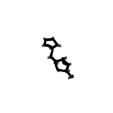 CCN1C=NN(Sc2nccs2)C1